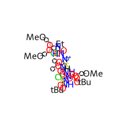 CCn1cc(C(=O)NCC[N+]2(CC3=C(C(=O)OC(c4ccccc4)c4ccccc4)N4C(=O)[C@@H](NC(=O)C(=NO[C@@H](CC(=O)OC(C)(C)C)C(=O)OCc5ccc(OC)cc5)c5nc(NC(=O)OC(C)(C)C)sc5Cl)[C@H]4SC3)CCCC2)c(=O)c2c(Cl)c(OCc3ccc(OC)cc3)c(OCc3ccc(OC)cc3)cc21